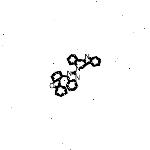 c1ccc2c3cn(-c4nc(-c5cccc6oc7ccccc7c56)c5ccccc5n4)c4ccccc4c-3nc2c1